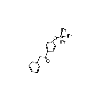 CC(C)[Si](Oc1ccc(C(=O)Cc2ccccc2)cc1)(C(C)C)C(C)C